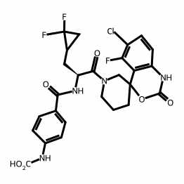 O=C(O)Nc1ccc(C(=O)N[C@@H](CC2CC2(F)F)C(=O)N2CCCC3(C2)OC(=O)Nc2ccc(Cl)c(F)c23)cc1